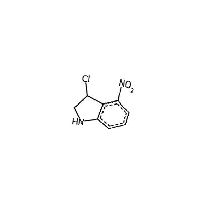 O=[N+]([O-])c1cccc2c1C(Cl)CN2